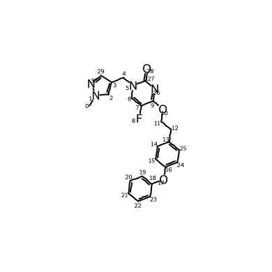 Cn1cc(Cn2cc(F)c(OCCc3ccc(Oc4ccccc4)cc3)nc2=O)cn1